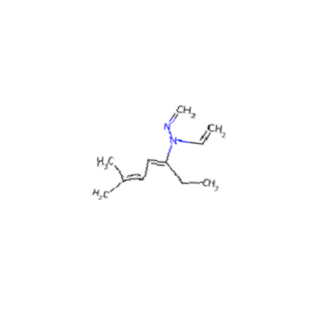 C=CN(N=C)/C(=C/C=C(C)C)CC